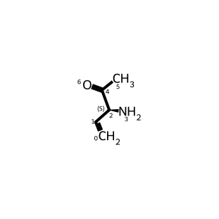 C=C[C@H](N)C(C)=O